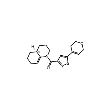 O=C(c1cc(C2=CCOCC2)sn1)N1CCC[C@@H]2CCCC=C21